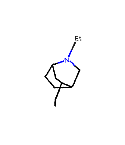 CCN1CC2CCC1CC2C